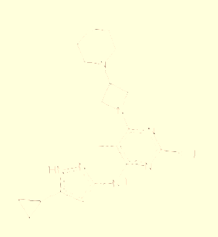 Cc1nc(Nc2cc(C3CC3)[nH]n2)c(F)c(N2CC(N3CCOCC3)C2)n1